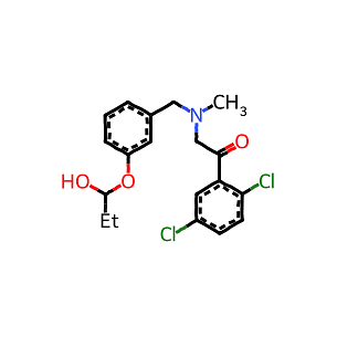 CCC(O)Oc1cccc(CN(C)CC(=O)c2cc(Cl)ccc2Cl)c1